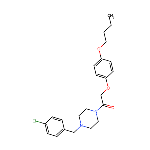 CCCCOc1ccc(OCC(=O)N2CCN(Cc3ccc(Cl)cc3)CC2)cc1